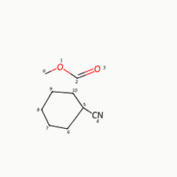 COC=O.N#CC1CCCCC1